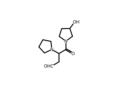 O=CCC(C(=O)N1CCC(O)C1)N1CCCC1